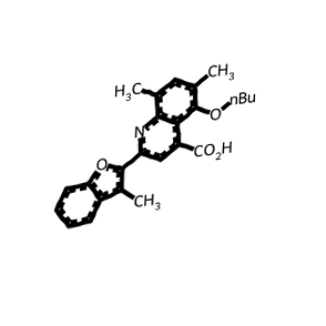 CCCCOc1c(C)cc(C)c2nc(-c3oc4ccccc4c3C)cc(C(=O)O)c12